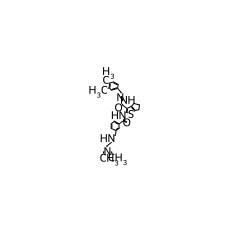 CCN(CC)CCNCc1cccc(C(=O)Nc2sc3c(c2C(=O)NN=Cc2ccc(C)c(C)c2)CCC3)c1